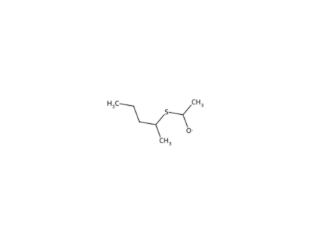 CCCC(C)SC(C)[O]